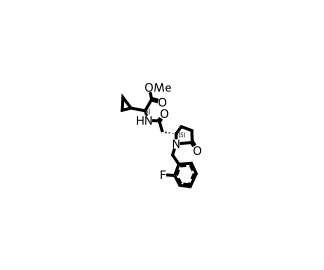 COC(=O)[C@@H](NC(=O)C[C@@H]1CCC(=O)N1Cc1ccccc1F)C1CC1